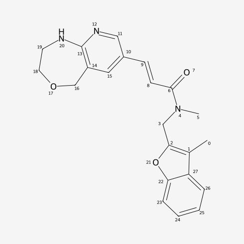 Cc1c(CN(C)C(=O)C=Cc2cnc3c(c2)COCCN3)oc2ccccc12